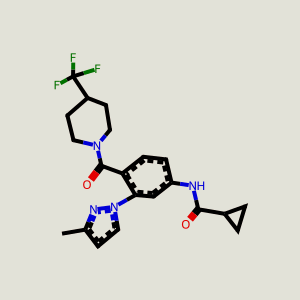 Cc1ccn(-c2cc(NC(=O)C3CC3)ccc2C(=O)N2CCC(C(F)(F)F)CC2)n1